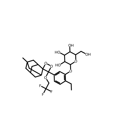 CCc1ccc(C2(OCC(F)(F)F)OOC23C2CC4CC3CC(C)(C4)C2)cc1OC1OC(CO)C(O)C(O)C1O